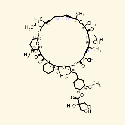 COC1C[C@@H]2CC[C@@H](C)[C@@](O)(O2)C(=O)C(=O)N2CCCC[C@H]2C(=O)O[C@H]([C@H](C)CC2CC[C@@H](OC(=O)C(C)(CO)CO)[C@H](OC)C2)CC(=O)[C@H](C)/C=C(\C)[C@@H](O)[C@@H](CO)C(=O)[C@H](C)C[C@H](C)/C=C/C=C/C=C/1C